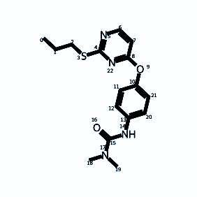 CCCSc1nccc(Oc2ccc(NC(=O)N(C)C)cc2)n1